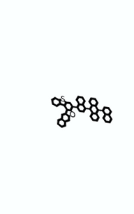 c1ccc2cc3c(cc2c1)oc1c(-c2ccc(-c4c5ccccc5c(-c5cccc6ccccc56)c5ccccc45)c4ccccc24)cc2sc4ccccc4c2c13